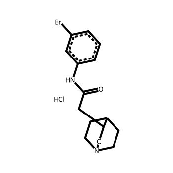 Cl.O=C(CC1CN2CCC1CC2)Nc1cccc(Br)c1